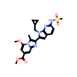 COC(=O)c1cc(OC)n2c(C)c(-c3cc4ccc(NS(C)(=O)=O)nc4n3CC3CC3)nc2c1